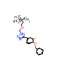 C[Si](C)(C)CCOCn1nnc(-c2ccc(OCc3ccccc3)c(F)c2)n1